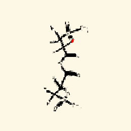 CS(=O)(=O)C(F)(F)C(F)(F)C(=O)OC(=O)C(F)(F)C(F)(F)S(C)(=O)=O